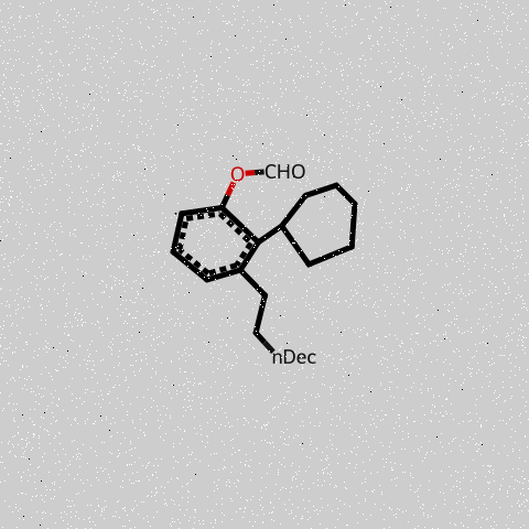 CCCCCCCCCCCCc1cc[c]c(OC=O)c1C1CCCCC1